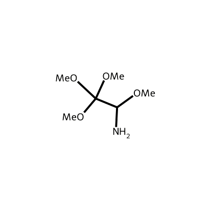 COC(N)C(OC)(OC)OC